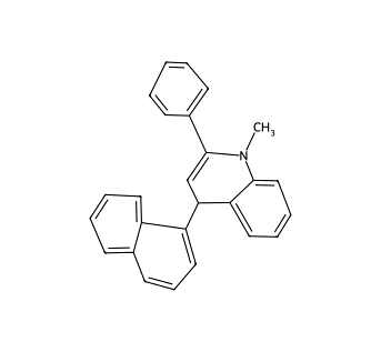 CN1C(c2ccccc2)=CC(c2cccc3ccccc23)c2ccccc21